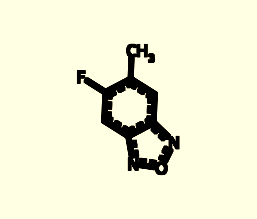 Cc1cc2nonc2cc1F